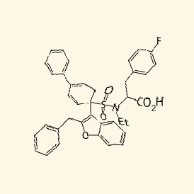 CCN(C(Cc1ccc(F)cc1)C(=O)O)S(=O)(=O)C1(c2c(Cc3ccccc3)oc3ccccc23)C=CC(c2ccccc2)=CC1